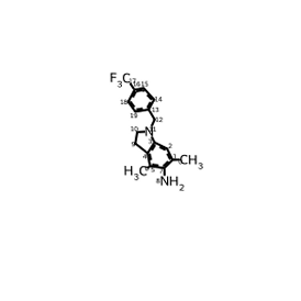 Cc1cc2c(c(C)c1N)CCN2Cc1ccc(C(F)(F)F)cc1